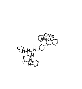 COc1ccccc1CN(Cc1ccccc1OC)[C@H]1CC[C@H](CNc2nc(N3CCOCC3)cc(-n3c(C(F)F)nc4ccccc43)n2)CC1